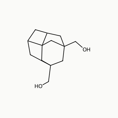 OCC12CC3CC4CC(CO)(C1)CC34C2